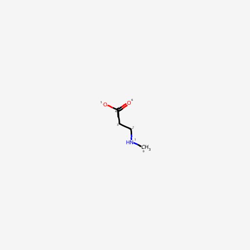 CNCCC([O])=O